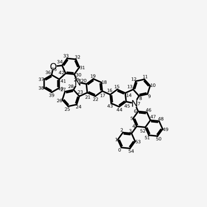 c1ccc(-c2cc(-n3c4ccccc4c4cc(-c5ccc6c(c5)c5ccccc5n6-c5cccc6oc7ccccc7c56)ccc43)cc3ccccc23)cc1